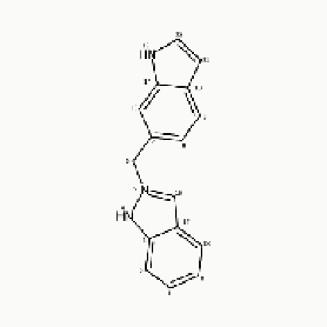 c1ccc2[nH][n+](Cc3ccc4cc[nH]c4c3)cc2c1